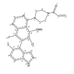 C=CC(=O)N1CCN(c2ncnc3c(F)c(-c4c(F)ccc5[nH]ncc45)c(Cl)c(OC)c23)CC1